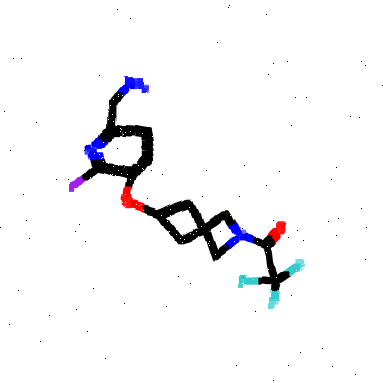 NCc1ccc(OC2CC3(C2)CN(C(=O)C(F)(F)F)C3)c(I)n1